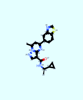 Cc1cc(-c2ccc3scnc3c2)nc2c(C(=O)N[C@H](C)C3CC3)cnn12